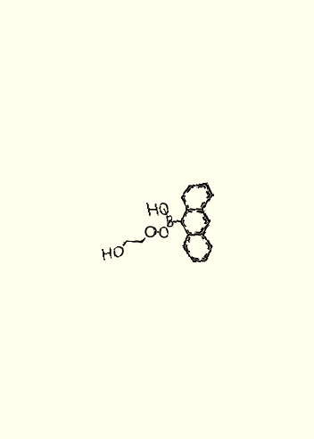 OCCOOB(O)c1c2ccccc2cc2ccccc12